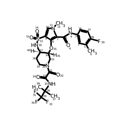 Cc1cc(NC(=O)c2c3c(cn2C)S(=O)(=O)N[C@@H]2CCN(C(=O)C(=O)NC(C)(C)C(F)(F)F)C[C@H]2O3)ccc1F